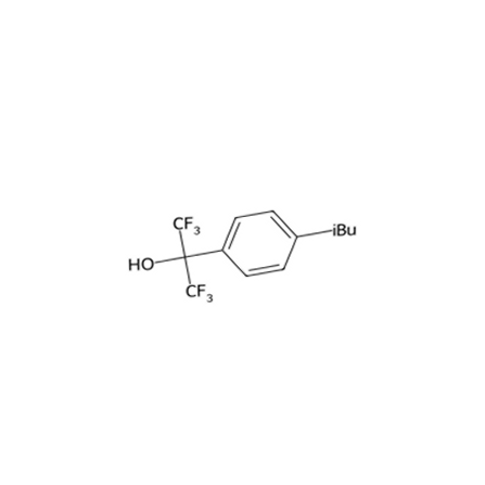 CCC(C)c1ccc(C(O)(C(F)(F)F)C(F)(F)F)cc1